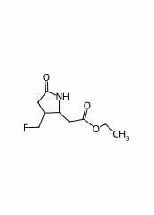 CCOC(=O)CC1NC(=O)CC1CF